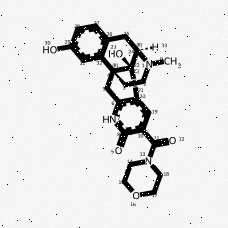 CN1CC[C@]23Cc4[nH]c(=O)c(C(=O)N5CCOCC5)cc4C[C@@]2(O)[C@H]1Cc1ccc(O)cc13